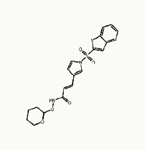 O=C(C=Cc1ccn(S(=O)(=O)c2cc3ccccc3s2)c1)NOC1CCCCO1